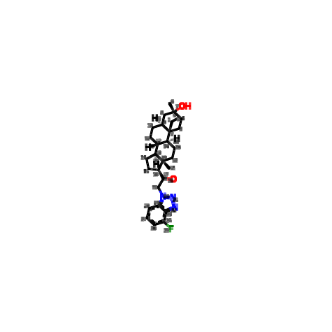 CC[C@]12CC[C@@](C)(O)C[C@@H]1CC[C@H]1[C@@H]3CC[C@H](C(=O)Cn4nnc5c(F)cccc54)[C@@]3(C)CC[C@@H]12